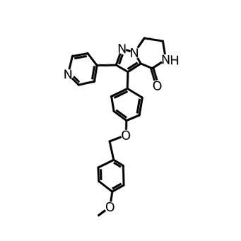 COc1ccc(COc2ccc(-c3c(-c4ccncc4)nn4c3C(=O)NCC4)cc2)cc1